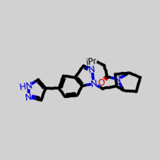 CC(C)CC(=O)N1C2CCC1C(Cn1ncc3cc(-c4cn[nH]c4)ccc31)C2